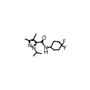 Cc1nn(C(C)C)c(C(=O)NC2CCC(F)(F)CC2)c1C